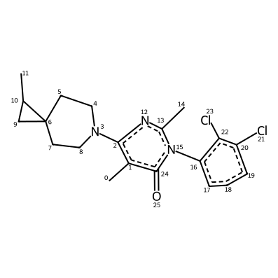 Cc1c(N2CCC3(CC2)CC3C)nc(C)n(-c2cccc(Cl)c2Cl)c1=O